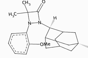 COc1ccccc1N1N([C@H]2C3CC4CC2C[C@](Cl)(C4)C3)C(=O)C1(C)C